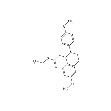 CCOC(=O)CC1c2ccc(OC)cc2CCC1c1ccc(OC)cc1